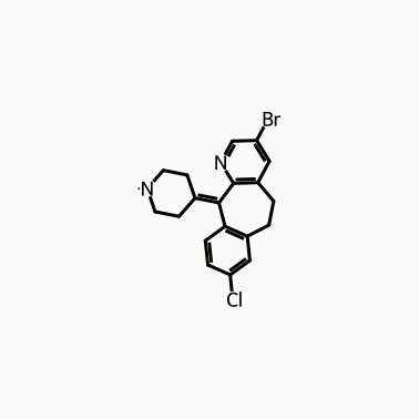 Clc1ccc2c(c1)CCc1cc(Br)cnc1C2=C1CC[N]CC1